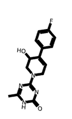 Cc1nc(N2CC=C(c3ccc(F)cc3)C(O)C2)nc(=O)[nH]1